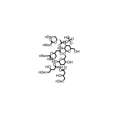 CCCCCCCCCCCC(O)CC(=O)N[C@@H]1C(O)OC(CO[C@@H]2OC(CO)[C@@H](OP(=O)(O)O)[C@H](OC(=O)C[C@@H](CCCCCCCCCCC)OC(=O)CCCCCCCCC)[C@@H]2NC(=O)CC(CCCCCCCCCCC)OC(=O)CCCCCCCCC)[C@@H](O)[C@@H]1OC(=O)CC(O)CCCCCCCCCCC